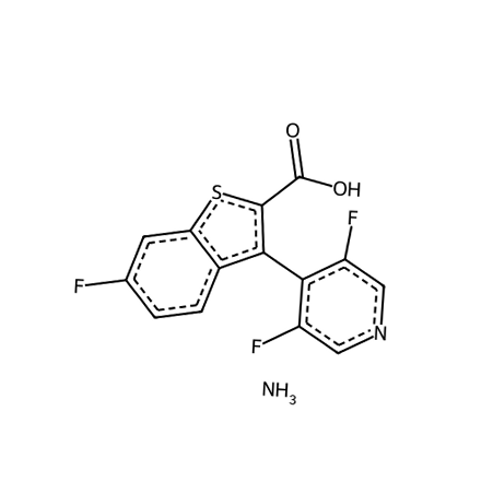 N.O=C(O)c1sc2cc(F)ccc2c1-c1c(F)cncc1F